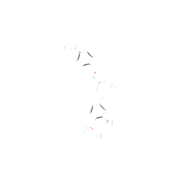 CCO[C@H](COc1ccc(C(C)(C)C)cc1)CSc1ccc(OCC(=O)O)c(C)c1